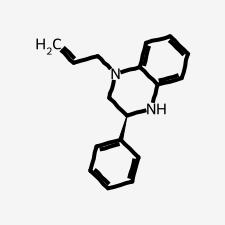 C=CCN1C[C@H](c2ccccc2)Nc2ccccc21